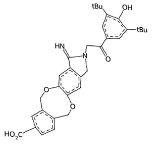 CC(C)(C)c1cc(C(=O)CN2Cc3cc4c(cc3C2=N)OCc2cc(C(=O)O)ccc2CO4)cc(C(C)(C)C)c1O